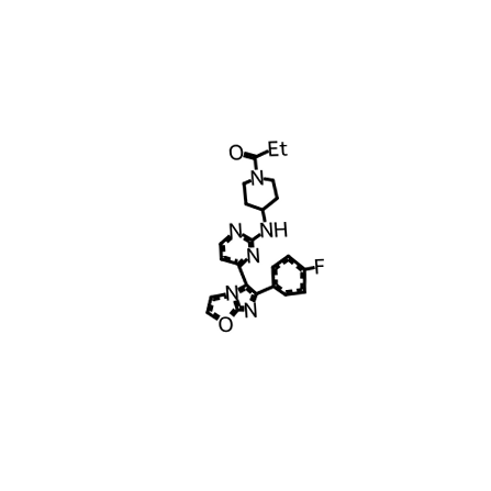 CCC(=O)N1CCC(Nc2nccc(-c3c(-c4ccc(F)cc4)nc4occn34)n2)CC1